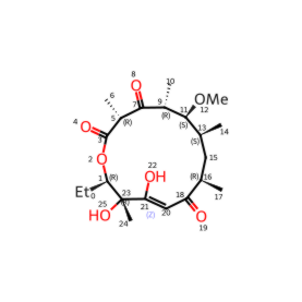 CC[C@H]1OC(=O)[C@H](C)C(=O)[C@H](C)[C@@H](OC)[C@@H](C)C[C@@H](C)C(=O)/C=C(\O)[C@]1(C)O